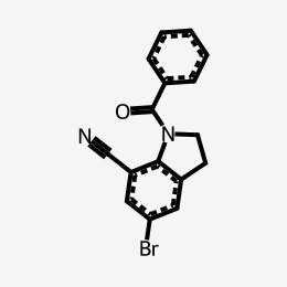 N#Cc1cc(Br)cc2c1N(C(=O)c1ccccc1)CC2